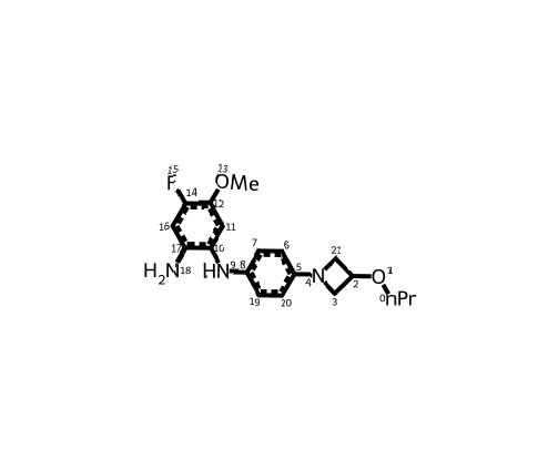 CCCOC1CN(c2ccc(Nc3cc(OC)c(F)cc3N)cc2)C1